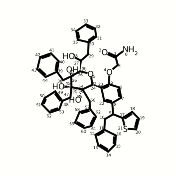 NC(=O)COc1ccc(C(Cc2ccccc2)c2cccs2)cc1[C@@H]1O[C@H](C(O)Cc2ccccc2)[C@](O)(Cc2ccccc2)[C@@](O)(Cc2ccccc2)[C@]1(O)Cc1ccccc1